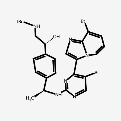 CCc1cccn2c(-c3nc(N[C@@H](C)c4ccc([C@@H](O)CNC(C)(C)C)cc4)ncc3Br)cnc12